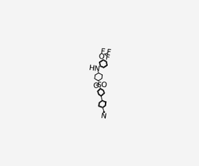 N#Cc1ccc(-c2ccc(S(=O)(=O)[C@H]3CC[C@H](Nc4cccc(OC(F)(F)F)c4)CC3)cc2)cc1